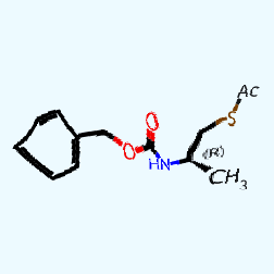 CC(=O)SC[C@@H](C)NC(=O)OCc1ccccc1